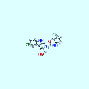 O=C(CN1Cc2[nH]c3ccc(Cl)cc3c2CC1CO)Nc1cccc(Cl)c1